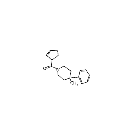 CC1(c2ccccc2)CCN(C(=O)C2C=CCC2)CC1